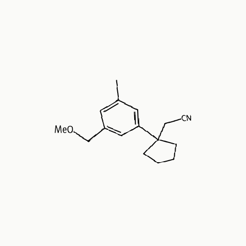 COCc1cc(C)cc(C2(CC#N)CCCC2)c1